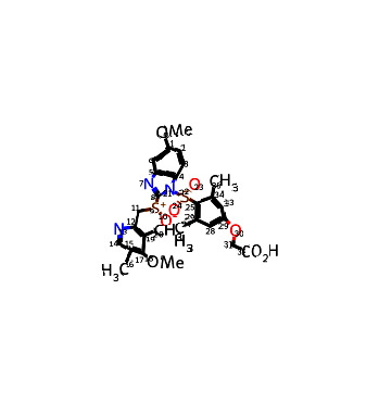 COc1ccc2c(c1)nc([S+]([O-])Cc1ncc(C)c(OC)c1C)n2S(=O)(=O)c1c(C)cc(OCC(=O)O)cc1C